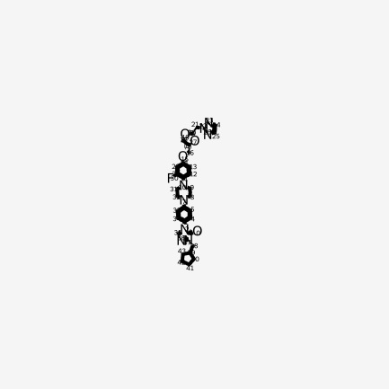 O=c1n(-c2ccc(N3CCN(c4ccc(OC[C@H]5CO[C@@H](Cn6nccn6)O5)cc4F)CC3)cc2)cnn1CC1CCCC1